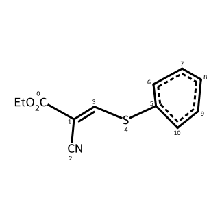 CCOC(=O)C(C#N)=CSc1ccccc1